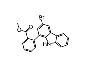 COC(=O)c1ccccc1-c1cc(Br)cc2c1[nH]c1ccccc12